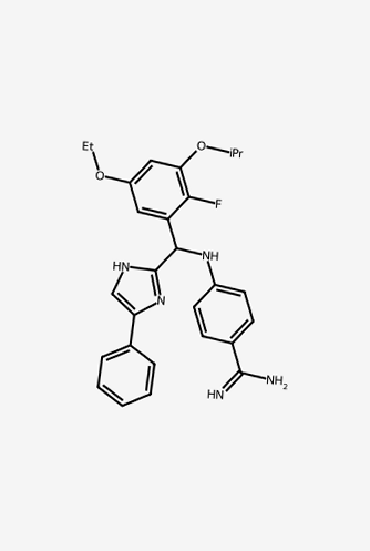 CCOc1cc(OC(C)C)c(F)c(C(Nc2ccc(C(=N)N)cc2)c2nc(-c3ccccc3)c[nH]2)c1